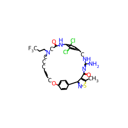 Cc1snc2c1C(=O)/N=C(\N)NCc1cc(Cl)c(c(Cl)c1)NC(=O)CN(CCC(F)(F)F)CCCC=CCOc1ccc-2cc1